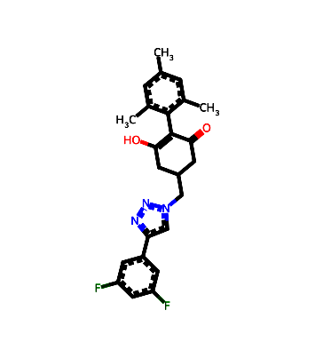 Cc1cc(C)c(C2=C(O)CC(Cn3cc(-c4cc(F)cc(F)c4)nn3)CC2=O)c(C)c1